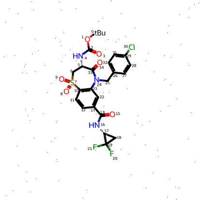 CC(C)(C)OC(=O)N[C@H]1CS(=O)(=O)c2ccc(C(=O)N[C@@H]3CC3(F)F)cc2N(Cc2ccc(Cl)cc2)C1=O